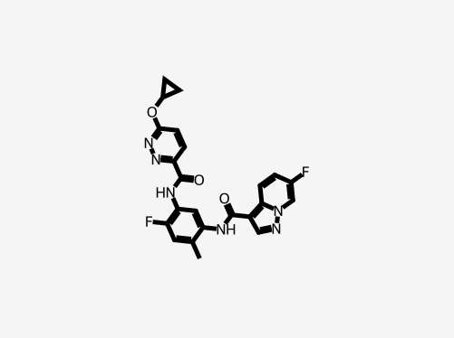 Cc1cc(F)c(NC(=O)c2ccc(OC3CC3)nn2)cc1NC(=O)c1cnn2cc(F)ccc12